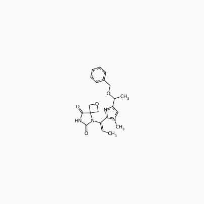 C/C=C(\c1nc(C(C)OCc2ccccc2)cn1C)N1C(=O)NC(=O)C12COC2